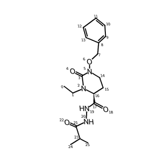 CCN1C(=O)N(OCc2ccccc2)CC[C@H]1C(=O)NNC(=O)C(C)C